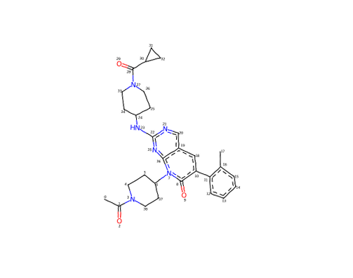 CC(=O)N1CCC(n2c(=O)c(-c3ccccc3C)cc3cnc(NC4CCN(C(=O)C5CC5)CC4)nc32)CC1